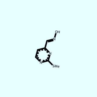 CSc1nccc(C=NO)n1